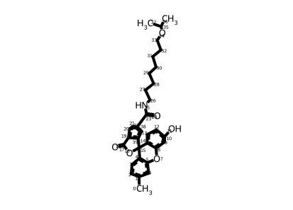 Cc1ccc2c(c1)Oc1cc(O)ccc1C21OC(=O)c2ccc(C(=O)NCCCCCCCCOC(C)C)cc21